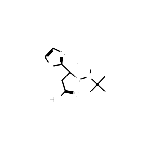 CC(C)(C)[S+]([O-])N[C@@](C)(CC(=O)O)c1nccs1